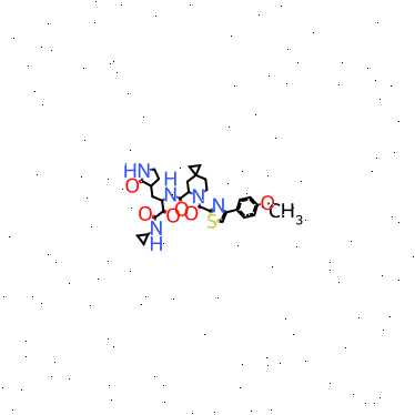 COc1ccc(-c2csc(C(=O)N3CCC4(CC4)CC3C(=O)NC(CC3CCNC3=O)C(=O)C(=O)NC3CC3)n2)cc1